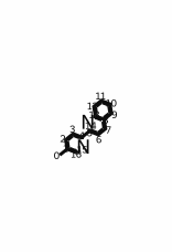 Cc1ccc(-c2ccc3ccccc3n2)nc1